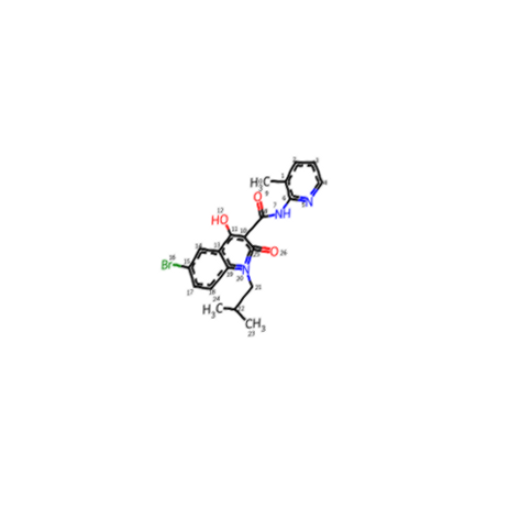 Cc1cccnc1NC(=O)c1c(O)c2cc(Br)ccc2n(CC(C)C)c1=O